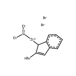 CCCCC1=Cc2ccccc2[CH]1[Zr+2][SiH](CC)CC.[Br-].[Br-]